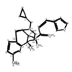 C=C(/C=C\c1ccoc1)N(C)[C@@H]1C2Cc3ccc(OC)cc3[C@@]1(C)CCN2CC1CC1